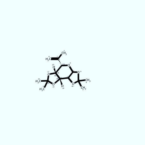 C=C(C)[C@@H]1OC2OC(C)(C)OC2[C@@H]2OC(C)(C)O[C@H]12